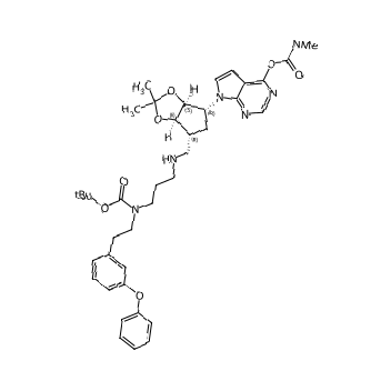 CNC(=O)Oc1ncnc2c1ccn2[C@@H]1C[C@H](CNCCCN(CCc2cccc(Oc3ccccc3)c2)C(=O)OC(C)(C)C)[C@H]2OC(C)(C)O[C@H]21